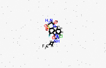 N[C@H]1CS(=O)(=O)c2cc(F)c(-c3nnc(NC4CC(C(F)(F)F)C4)o3)cc2N(Cc2ccc(Cl)cc2)C1=O